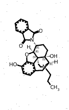 CCCN1CC[C@]23c4c5ccc(O)c4O[C@H]2[C@H](N2C(=O)c4ccccc4C2=O)CC[C@@]3(O)[C@H]1C5